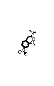 COc1cc([N+](=O)[O-])ccc1CC(=O)N(C)C